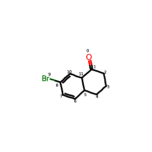 O=C1CCCC2C=CC(Br)=CC12